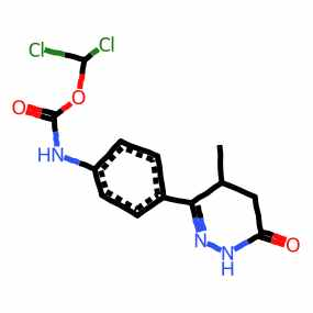 CC1CC(=O)NN=C1c1ccc(NC(=O)OC(Cl)Cl)cc1